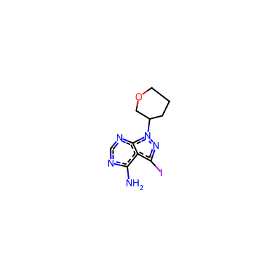 Nc1ncnc2c1c(I)nn2C1CCCOC1